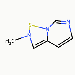 CN1C=C2C=CN=CN2S1